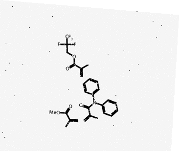 C=C(C)C(=O)N(c1ccccc1)c1ccccc1.C=C(C)C(=O)OC.C=C(C)C(=O)OCC(F)(F)C(F)(F)F